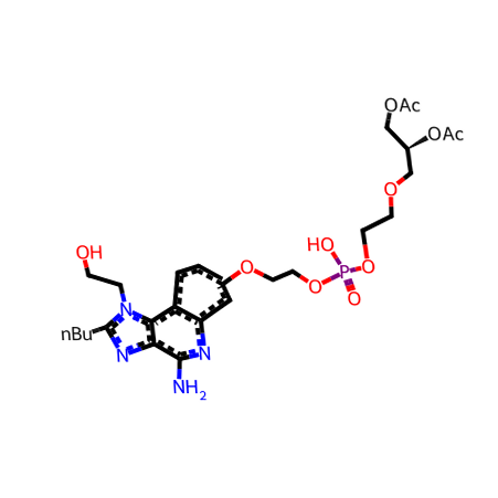 CCCCc1nc2c(N)nc3cc(OCCOP(=O)(O)OCCOC[C@@H](COC(C)=O)OC(C)=O)ccc3c2n1CCO